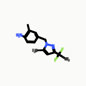 Cc1cc(Cn2nc(C(F)(F)C(F)(F)F)cc2C(F)(F)F)ccc1N